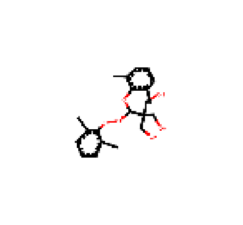 Cc1cccc(C)c1OOC(Oc1c(C)cccc1C)C(CO)(CO)CO